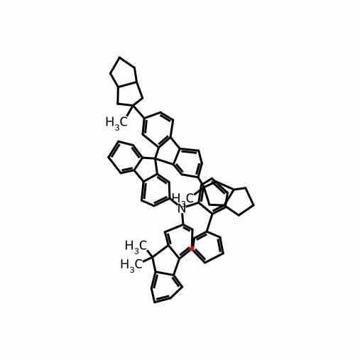 CC1(c2ccc3c(c2)C2(c4ccccc4-c4ccc(N(c5ccc6c(c5)C(C)(C)c5ccccc5-6)c5ccccc5-c5ccccc5)cc42)c2cc(C4(C)CC5CCCC5C4)ccc2-3)CC2CCCC2C1